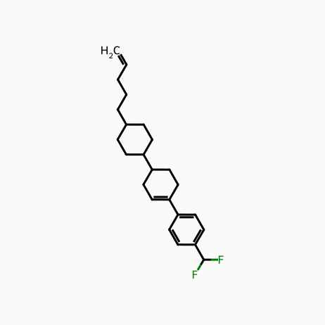 C=CCCCC1CCC(C2CC=C(c3ccc(C(F)F)cc3)CC2)CC1